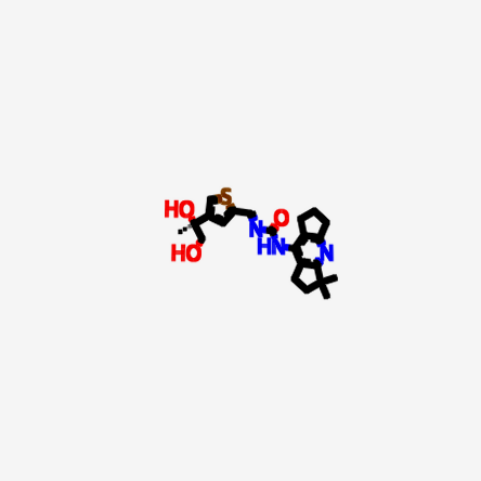 CC1(C)CCc2c1nc1c(c2NC(=O)N=Cc2cc([C@](C)(O)CO)cs2)CCC1